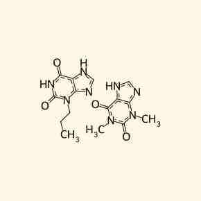 CCCn1c(=O)[nH]c(=O)c2[nH]cnc21.Cn1c(=O)c2[nH]cnc2n(C)c1=O